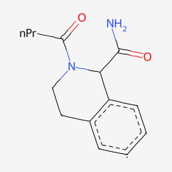 CCCC(=O)N1CCc2c[c]ccc2C1C(N)=O